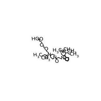 CCC(C)C1c2c(n(CCC(=O)N3CCC(N(CCOCCOCCC(=O)O)C(=O)CC(C)C)CC3)c3ccccc23)CN(C)N1C